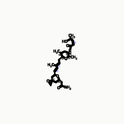 CC(/C=C/[C@@H]1C[C@]2(CO2)C[C@@H](CC(N)=O)O1)=C\C[C@@H]1O[C@H](C)[C@H](NC(=O)/C=C\[C@H](C)O)C[C@@H]1C